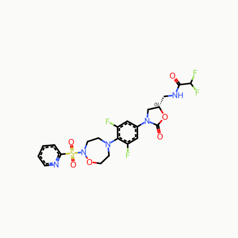 O=C(NC[C@H]1CN(c2cc(F)c(N3CCON(S(=O)(=O)c4ccccn4)CC3)c(F)c2)C(=O)O1)C(F)F